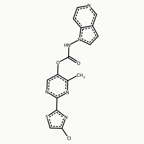 Cc1nc(-c2nc(Cl)cs2)ncc1OC(=O)Nn1ccc2cnccc21